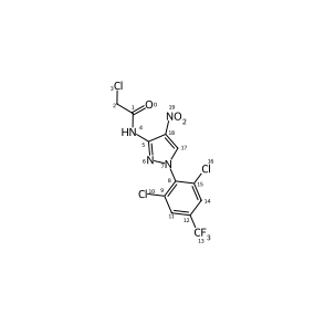 O=C(CCl)Nc1nn(-c2c(Cl)cc(C(F)(F)F)cc2Cl)cc1[N+](=O)[O-]